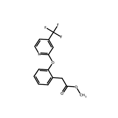 COC(=O)Cc1ccccc1Oc1cc(C(F)(F)F)ccn1